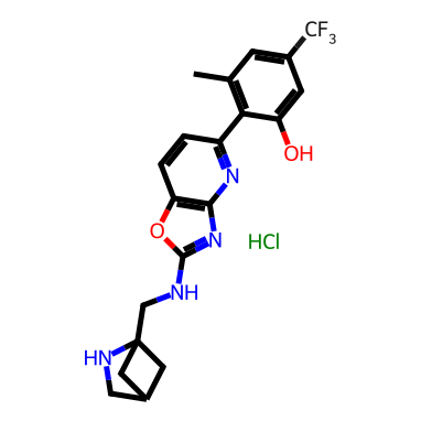 Cc1cc(C(F)(F)F)cc(O)c1-c1ccc2oc(NCC34CC(CN3)C4)nc2n1.Cl